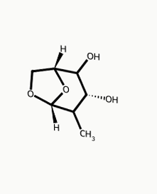 CC1[C@@H]2OC[C@@H](O2)C(O)[C@@H]1O